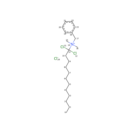 CCCCCCCCCCCC(Cl)(Cl)[N+](C)(C)Cc1ccccc1.[Cl-]